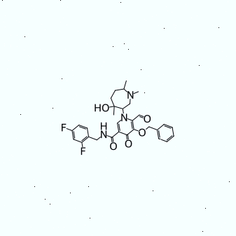 CC1CCC(C)(O)C(n2cc(C(=O)NCc3ccc(F)cc3F)c(=O)c(OCc3ccccc3)c2C=O)CN1C